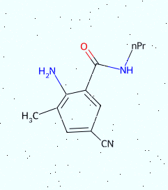 CCCNC(=O)c1cc(C#N)cc(C)c1N